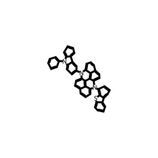 c1ccc(-n2c3ccccc3c3cc(-n4c5ccc6cccc7c6c5-c5c6c(cccc64)ccc5n7-c4cccc5c4sc4ccccc45)ccc32)cc1